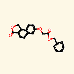 O=C(COc1ccc2c3c(ccc2c1)C(=O)OC3)OCc1ccccc1